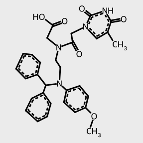 COc1ccc(N(CCN(CC(=O)O)C(=O)Cn2cc(C)c(=O)[nH]c2=O)C(c2ccccc2)c2ccccc2)cc1